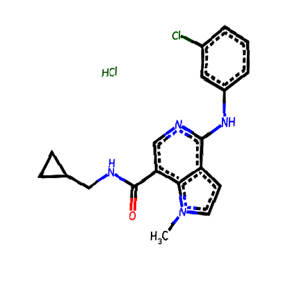 Cl.Cn1ccc2c(Nc3cccc(Cl)c3)ncc(C(=O)NCC3CC3)c21